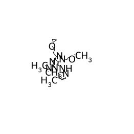 CCOCCn1nc(CCOC2CC2)c2nc(N(C)C)nc(Nc3cc(C)ccn3)c21